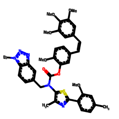 CCn1nnc2cc(CN(C(=O)Oc3cc(/C=C\c4cc(OC)c(OC)c(OC)c4)ccc3OC)c3sc(-c4ccc(C)cc4OC)nc3C)ccc21